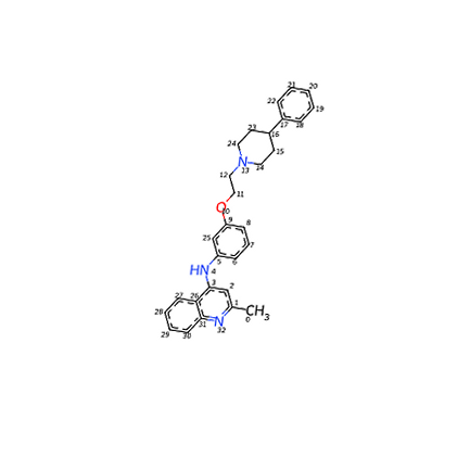 Cc1cc(Nc2cccc(OCCN3CCC(c4ccccc4)CC3)c2)c2ccccc2n1